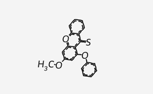 COc1cc(Oc2ccccc2)c2c(=S)c3ccccc3oc2c1